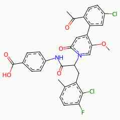 COc1cn(C(Cc2c(C)ccc(F)c2Cl)C(=O)Nc2ccc(C(=O)O)cc2)c(=O)cc1-c1cc(Cl)ccc1C(C)=O